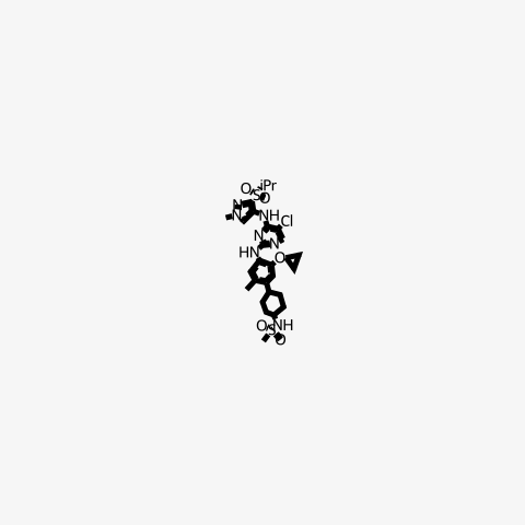 Cc1cc(Nc2ncc(Cl)c(Nc3cn(C)nc3S(=O)(=O)C(C)C)n2)c(OC2CC2)cc1C1CCC(NS(C)(=O)=O)CC1